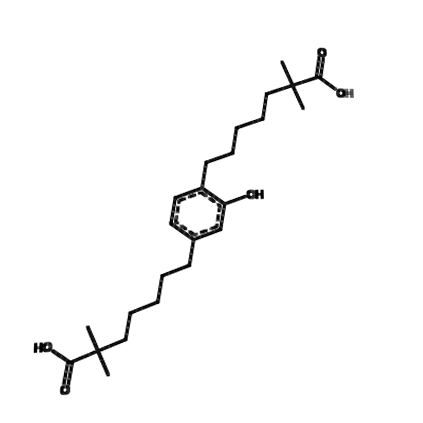 CC(C)(CCCCCc1ccc(CCCCCC(C)(C)C(=O)O)c(O)c1)C(=O)O